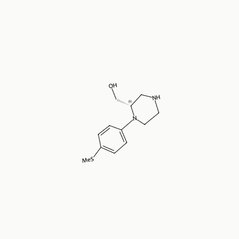 CSc1ccc(N2CCNC[C@H]2CO)cc1